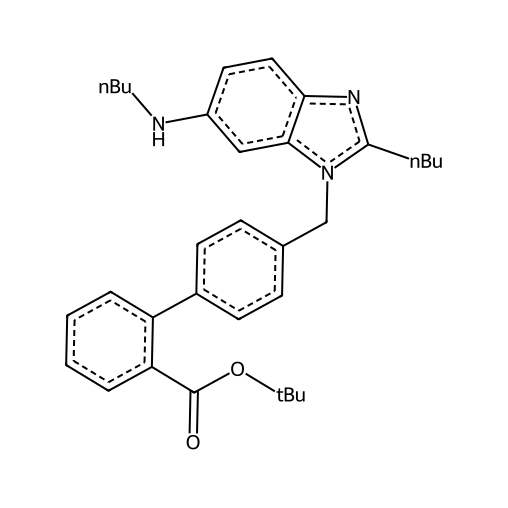 CCCCNc1ccc2nc(CCCC)n(Cc3ccc(-c4ccccc4C(=O)OC(C)(C)C)cc3)c2c1